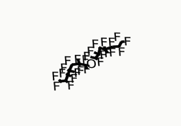 FC(F)C(F)C(F)(F)C(F)(F)C(F)C(F)(F)C(F)(F)OC(F)(F)C(F)(F)C(F)C(F)(F)C(F)(F)C(F)C(F)F